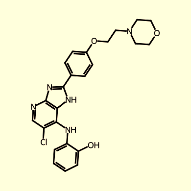 Oc1ccccc1Nc1c(Cl)cnc2nc(-c3ccc(OCCN4CCOCC4)cc3)[nH]c12